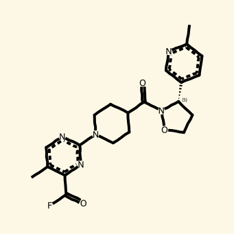 Cc1ccc([C@@H]2CCON2C(=O)C2CCN(c3ncc(C)c(C(=O)F)n3)CC2)cn1